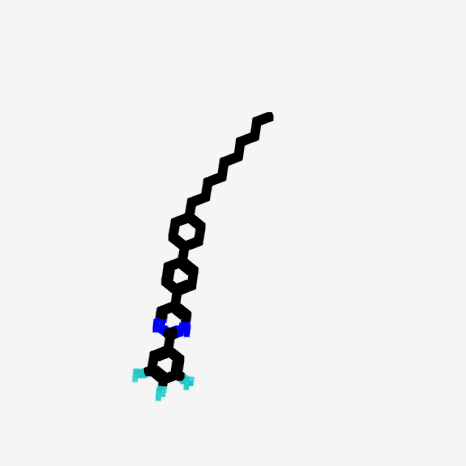 CCCCCCCCCCC1CCC(c2ccc(-c3cnc(-c4cc(F)c(F)c(F)c4)nc3)cc2)CC1